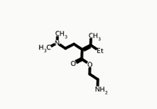 CCC(C)=C(CCN(C)C)C(=O)OCCN